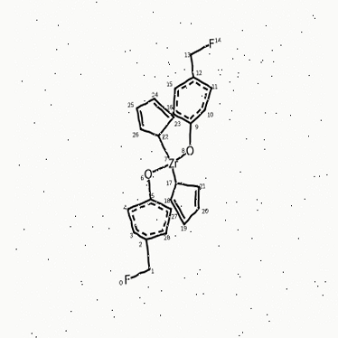 FCc1ccc([O][Zr]([O]c2ccc(CF)cc2)([CH]2C=CC=C2)[CH]2C=CC=C2)cc1